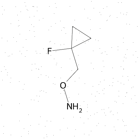 NOCC1(F)CC1